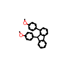 COc1ccc(-c2cccc3c2C(c2ccc(OC)cc2)c2ccccc2-3)cc1